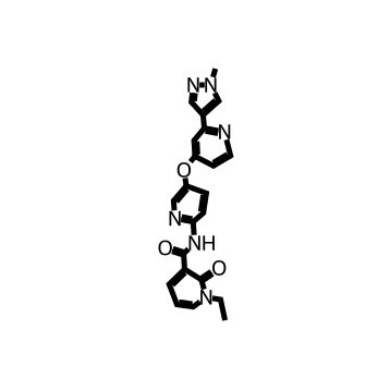 CCn1cccc(C(=O)Nc2ccc(Oc3ccnc(-c4cnn(C)c4)c3)cn2)c1=O